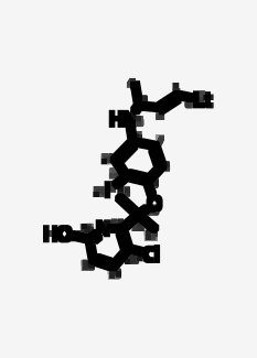 CCC=CC(C)Nc1ccc(OC(C)(C)c2nc(O)ccc2Cl)c(F)c1